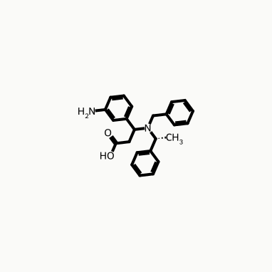 C[C@H](c1ccccc1)N(Cc1ccccc1)C(CC(=O)O)c1cccc(N)c1